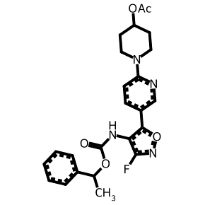 CC(=O)OC1CCN(c2ccc(-c3onc(F)c3NC(=O)OC(C)c3ccccc3)cn2)CC1